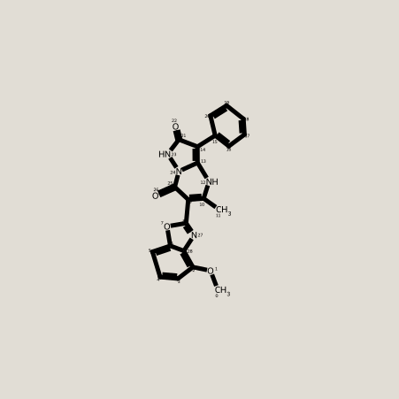 COc1cccc2oc(-c3c(C)[nH]c4c(-c5ccccc5)c(=O)[nH]n4c3=O)nc12